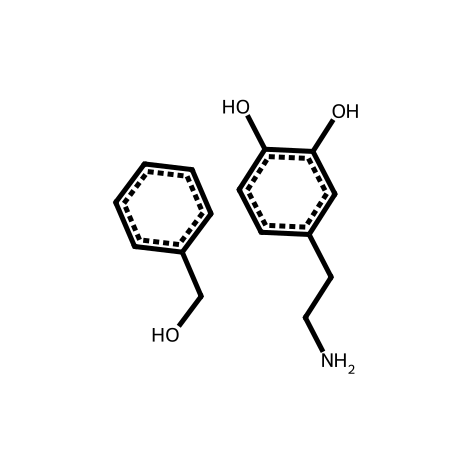 NCCc1ccc(O)c(O)c1.OCc1ccccc1